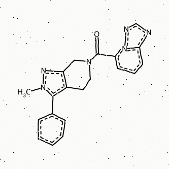 Cn1nc2c(c1-c1ccccc1)CCN(C(=O)c1cccc3ncnn13)C2